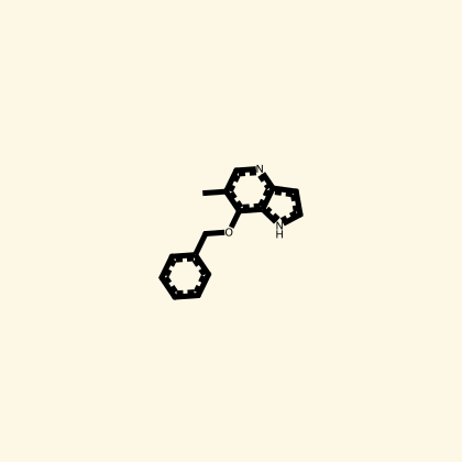 Cc1cnc2cc[nH]c2c1OCc1ccccc1